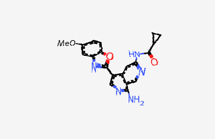 COc1ccc2oc(-c3cnc(N)c4cnc(NC(=O)C5CC5)cc34)nc2c1